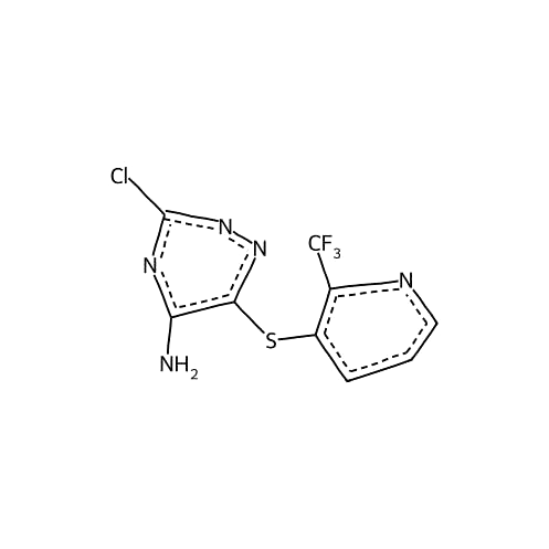 Nc1nc(Cl)nnc1Sc1cccnc1C(F)(F)F